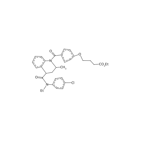 CCOC(=O)CCCOc1ccc(C(=O)N2c3ccccc3C(C(=O)N(CC)c3ccc(Cl)cc3)CC2C)cc1